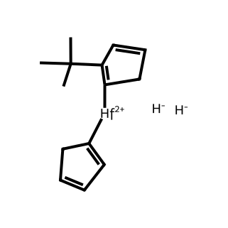 CC(C)(C)C1=[C]([Hf+2][C]2=CC=CC2)CC=C1.[H-].[H-]